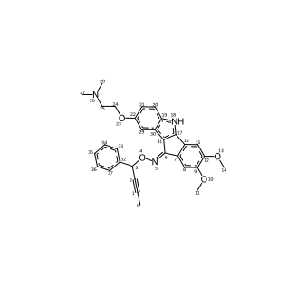 CC#CC(O/N=C1/c2cc(OC)c(OC)cc2-c2[nH]c3ccc(OCCN(C)C)cc3c21)c1ccccc1